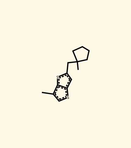 Cc1csc2cc(CC3(C)CCCC3)sc12